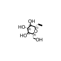 C=C[C@@H]1O[C@H](CO)[C@@H](O)[C@H](O)[C@H]1O